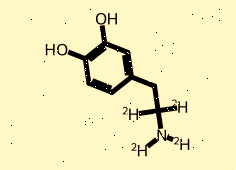 [2H]N([2H])C([2H])([2H])Cc1ccc(O)c(O)c1